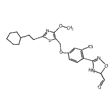 COc1nc(CCC2CCCCC2)sc1COc1ccc(C2=NOC(C=O)N2)c(Cl)c1